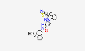 C[C@@H]1CCCC[C@H]1n1c(Cc2cncs2)nc2cc(C(=O)NC(CC(=O)O)CC3CCCCC3)ccc21